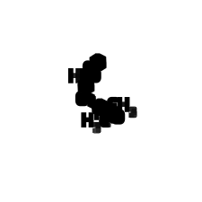 CC1COCC(C)N1c1ccc(/C=C/C(=O)c2ccc(NC(=O)Oc3ccccc3)cc2)cn1